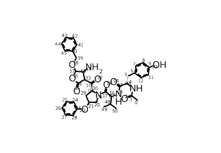 CC(=O)N[C@@H](Cc1ccc(O)cc1)C(=O)N[C@H](C(=O)N1CC(Oc2ccccc2)C[C@H]1C(=O)C1C(=O)OC(OCc2ccccc2)C1N)C(C)C